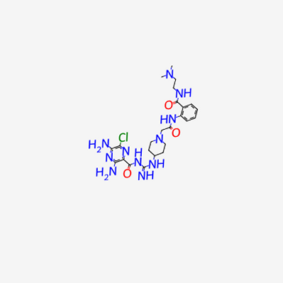 CN(C)CCNC(=O)c1ccccc1NC(=O)CN1CCC(NC(=N)NC(=O)c2nc(Cl)c(N)nc2N)CC1